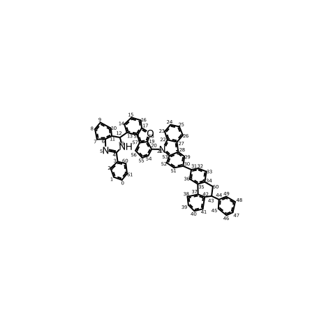 c1ccc(C2=Nc3ccccc3C(c3cccc4oc5c(-n6c7ccccc7c7cc(-c8ccc9c(c8)-c8ccccc8C(c8ccccc8)C9)ccc76)cccc5c34)N2)cc1